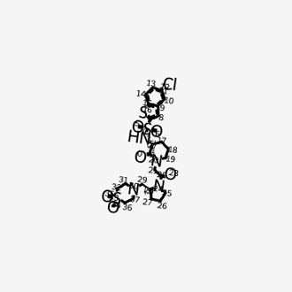 O=C1[C@@H](NS(=O)(=O)c2cc3cc(Cl)ccc3s2)CCCN1CC(=O)N1CCC[C@H]1CN1CCS(=O)(=O)CC1